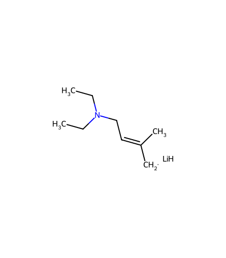 [CH2]C(C)=CCN(CC)CC.[LiH]